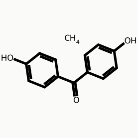 C.O=C(c1ccc(O)cc1)c1ccc(O)cc1